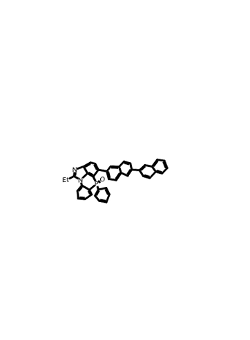 CCc1nc2ccc(-c3ccc4cc(-c5ccc6ccccc6c5)ccc4c3)c3c2n1-c1ccccc1P3(=O)c1ccccc1